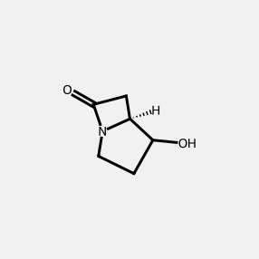 O=C1C[C@H]2C(O)CCN12